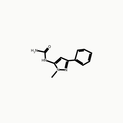 Cn1nc(-c2ccccc2)cc1NC(N)=O